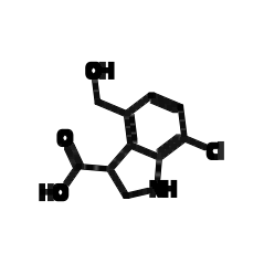 O=C(O)C1CNc2c(Cl)ccc(CO)c21